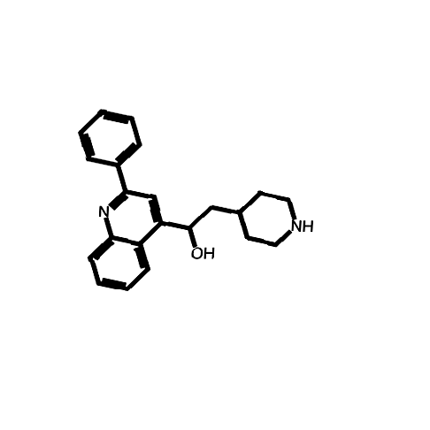 OC(CC1CCNCC1)c1cc(-c2ccccc2)nc2ccccc12